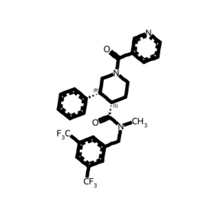 CN(Cc1cc(C(F)(F)F)cc(C(F)(F)F)c1)C(=O)[C@H]1CCN(C(=O)c2cccnc2)C[C@H]1c1ccccc1